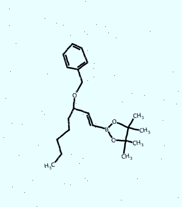 CCCCCC(C=CB1OC(C)(C)C(C)(C)O1)OCc1ccccc1